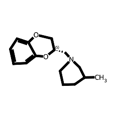 C[C]1CCCN(C[C@H]2COc3ccccc3O2)C1